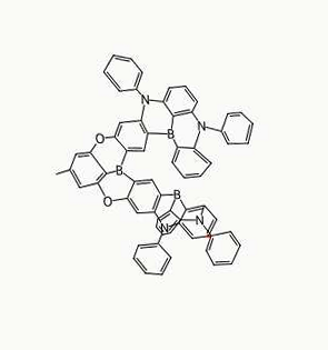 Cc1cc2c3c(c1)Oc1cc4c(cc1B3c1cc3c(cc1O2)N(c1ccccc1)c1cccc2c1B3c1ccccc1N2c1ccccc1)B1c2ccccc2N(c2ccccc2)c2cccc(c21)N4c1ccccc1